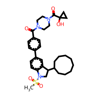 CS(=O)(=O)N1CC(C2CCCCCCCC2)c2cc(-c3ccc(C(=O)N4CCN(C(=O)C5(O)CC5)CC4)cc3)ccc21